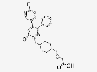 O=C(O)COCC1CCC(Cn2nc(-c3ccccc3)c(-c3ccc(F)nc3)cc2=O)CC1